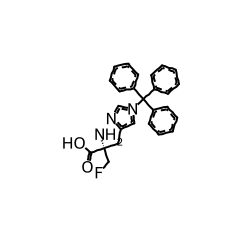 N[C@@](CF)(Cc1cn(C(c2ccccc2)(c2ccccc2)c2ccccc2)cn1)C(=O)O